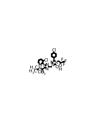 CC(C)(C)NC(=O)c1nc(Cn2nc(-c3ccc(Cl)cc3)n(C[C@H](O)C(F)(F)F)c2=O)nn1-c1ncccc1Cl